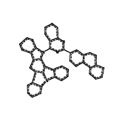 c1ccc2c(c1)ccc1cc(-c3nc(-n4c5ccccc5c5cc6c7ccccc7n7c8ccccc8c(c54)c67)c4ccccc4n3)ccc12